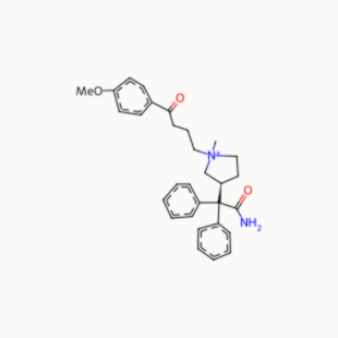 COc1ccc(C(=O)CCC[N+]2(C)CC[C@@H](C(C(N)=O)(c3ccccc3)c3ccccc3)C2)cc1